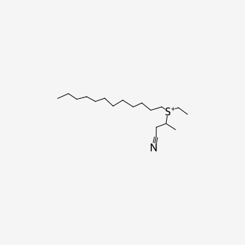 CCCCCCCCCCCC[S+](CC)C(C)CC#N